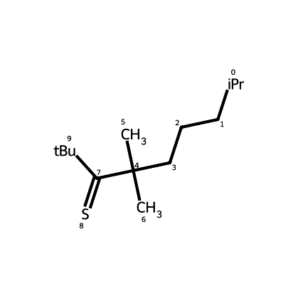 CC(C)CCCC(C)(C)C(=S)C(C)(C)C